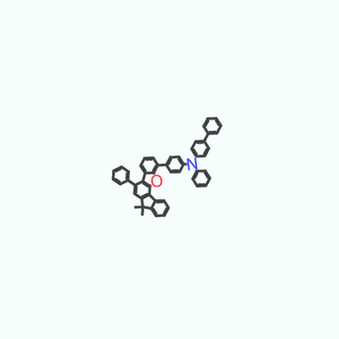 CC1(C)c2ccccc2-c2c1cc(-c1ccccc1)c1c2oc2c(-c3ccc(N(c4ccccc4)c4ccc(-c5ccccc5)cc4)cc3)cccc21